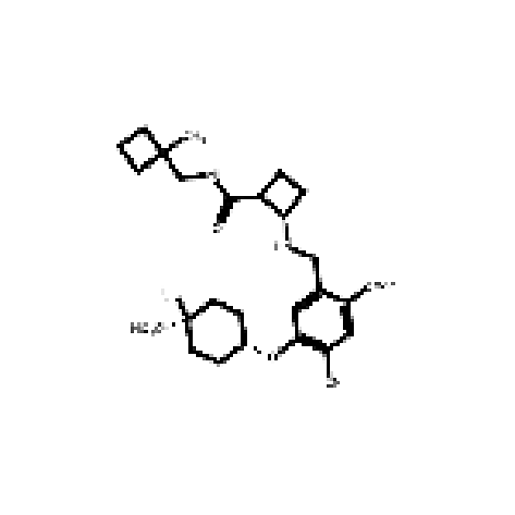 COc1cc(C#N)c(O[C@H]2CC[C@@](C)(C(=O)O)CC2)cc1CN[C@@H]1CC[C@@H]1C(=O)NCC1(C)CCC1